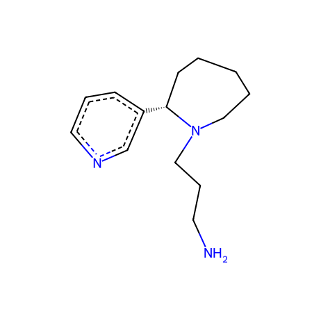 NCCCN1CCCCC[C@H]1c1cccnc1